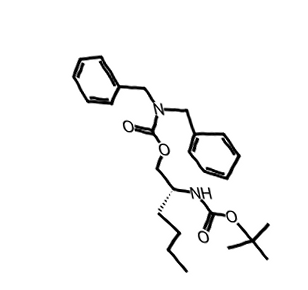 CCCC[C@H](COC(=O)N(Cc1ccccc1)Cc1ccccc1)NC(=O)OC(C)(C)C